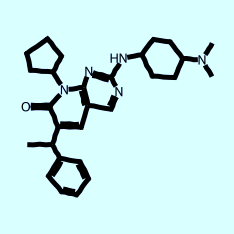 CC(c1ccccc1)c1cc2cnc(NC3CCC(N(C)C)CC3)nc2n(C2CCCC2)c1=O